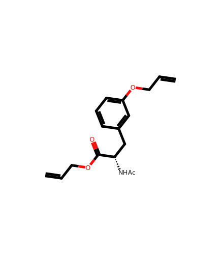 C=CCOC(=O)[C@H](Cc1cccc(OCC=C)c1)NC(C)=O